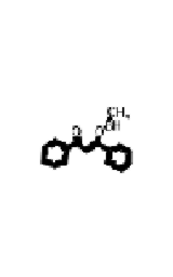 CBO/C(=C\C(=O)c1ccccc1)c1ccccc1